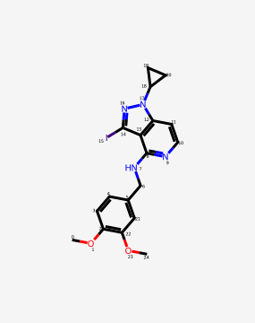 COc1ccc(CNc2nccc3c2c(I)nn3C2CC2)cc1OC